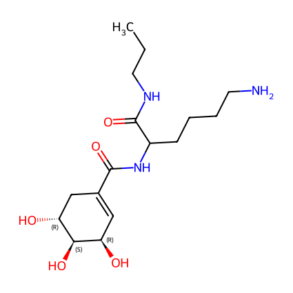 CCCNC(=O)C(CCCCN)NC(=O)C1=C[C@@H](O)[C@@H](O)[C@H](O)C1